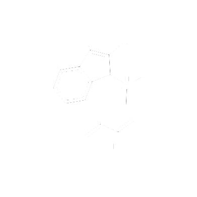 C=CC=C.CC1=Cc2ccccc2C1[SiH](C)C.[Ti]